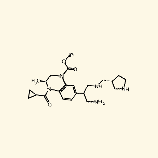 CC(C)OC(=O)N1C[C@H](C)N(C(=O)C2CC2)c2ccc(C(CN)CNC[C@@H]3CCNC3)cc21